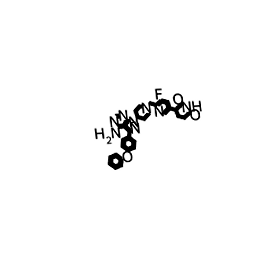 Nc1ncnc2c1c(-c1ccc(Oc3ccccc3)cc1)nn2C1CCN(Cc2ncc(C3CCC(=O)NC3=O)cc2F)CC1